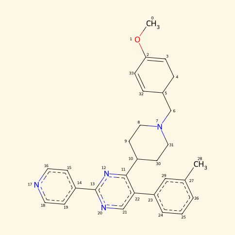 COC1=CCC(CN2CCC(c3nc(-c4ccncc4)ncc3-c3cccc(C)c3)CC2)C=C1